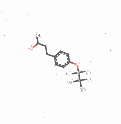 CC(O)CCc1ccc(O[Si](C)(C)C(C)(C)C)cc1